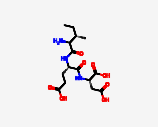 CC[C@H](C)[C@H](N)C(=O)N[C@@H](CCC(=O)O)C(=O)N[C@@H](CC(=O)O)C(=O)O